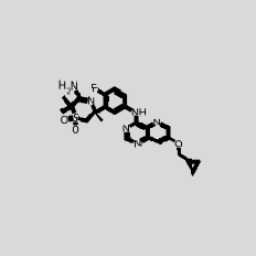 CC1(C)C(N)=N[C@](C)(c2cc(Nc3ncnc4cc(OCC5CC5)cnc34)ccc2F)CS1(=O)=O